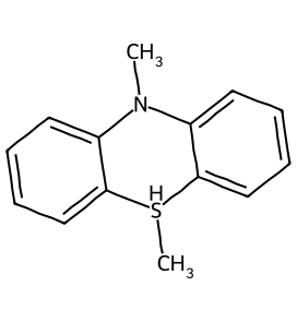 CN1c2ccccc2[SH](C)c2ccccc21